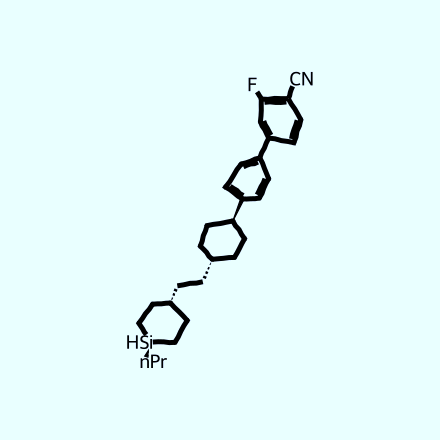 CCC[Si@H]1CC[C@H](CC[C@H]2CC[C@H](c3ccc(-c4ccc(C#N)c(F)c4)cc3)CC2)CC1